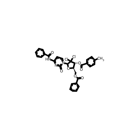 Cc1ccc(C(=O)O[C@@H]2[C@@H](COC(=O)c3ccccc3)OC(n3ccc(NC(=O)c4ccccc4)nc3=O)C2(Cl)Cl)cc1